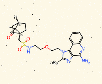 CCCCc1nc2c(N)nc3ccccc3c2n1CCOCCNS(=O)(=O)C[C@@]12CC[C@@H](CC1=O)C2(C)C